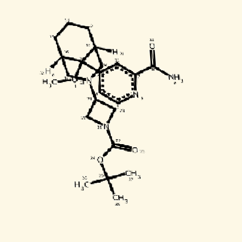 COC1(c2ccnc(C(N)=O)c2)[C@@H]2CCC[C@H]1CN(C1CN(C(=O)OC(C)(C)C)C1)C2